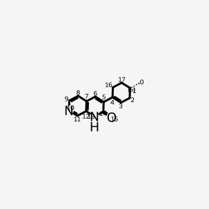 C[C@@H]1CC=C(c2cc3ccncc3[nH]c2=O)CC1